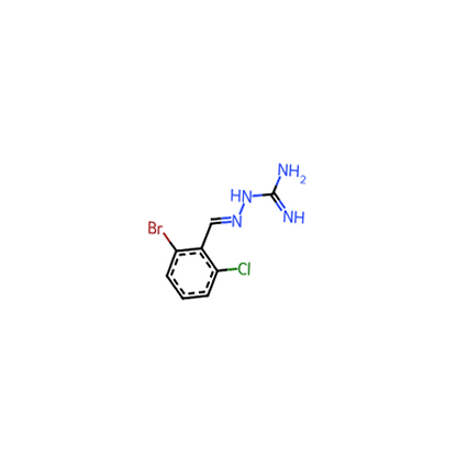 N=C(N)N/N=C/c1c(Cl)cccc1Br